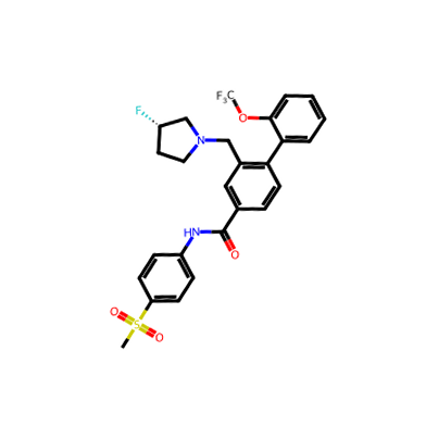 CS(=O)(=O)c1ccc(NC(=O)c2ccc(-c3ccccc3OC(F)(F)F)c(CN3CC[C@H](F)C3)c2)cc1